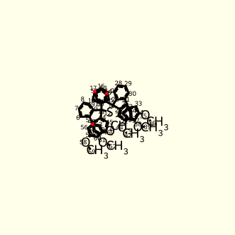 COc1cc(-c2ccccc2C(SC(c2ccccc2)(c2ccccc2)c2ccccc2-c2cc(OC)c(OC)c(OC)c2)(c2ccccc2)c2ccccc2)cc(OC)c1OC